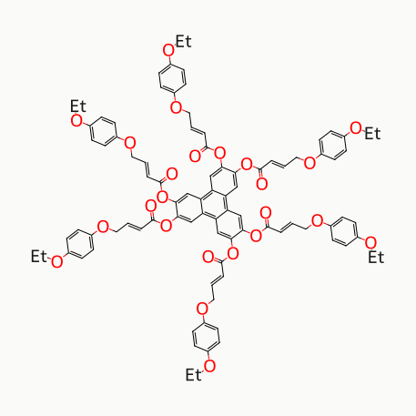 CCOc1ccc(OC/C=C/C(=O)Oc2cc3c4cc(OC(=O)/C=C/COc5ccc(OCC)cc5)c(OC(=O)/C=C/COc5ccc(OCC)cc5)cc4c4cc(OC(=O)/C=C/COc5ccc(OCC)cc5)c(OC(=O)/C=C/COc5ccc(OCC)cc5)cc4c3cc2OC(=O)/C=C/COc2ccc(OCC)cc2)cc1